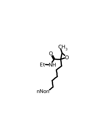 CCCCCCCCCCCCCCC1(C(=O)NCC)OC1C